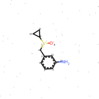 Nc1cccc(C[S+]([O-])C2CC2)c1